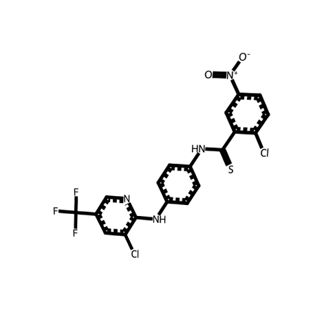 O=[N+]([O-])c1ccc(Cl)c(C(=S)Nc2ccc(Nc3ncc(C(F)(F)F)cc3Cl)cc2)c1